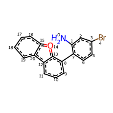 Nc1cc(Br)ccc1-c1cccc2c1oc1ccccc12